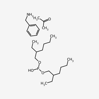 CC(C)=O.CCCCC(CC)COP(O)OCC(CC)CCCC.NCc1ccccc1